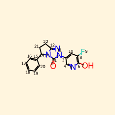 O=c1n(-c2cnc(O)c(F)c2)nc2n1C(c1ccccc1)CC2